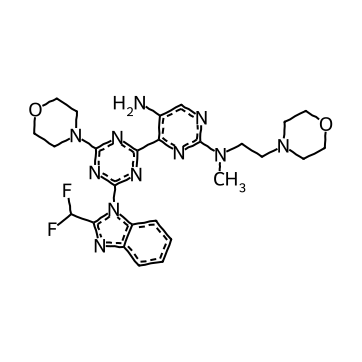 CN(CCN1CCOCC1)c1ncc(N)c(-c2nc(N3CCOCC3)nc(-n3c(C(F)F)nc4ccccc43)n2)n1